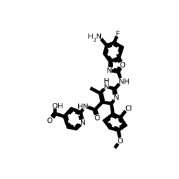 COc1ccc(C2N=C(Nc3nc4cc(N)c(F)cc4o3)NC(C)=C2C(=O)Nc2cc(C(=O)O)ccn2)c(Cl)c1